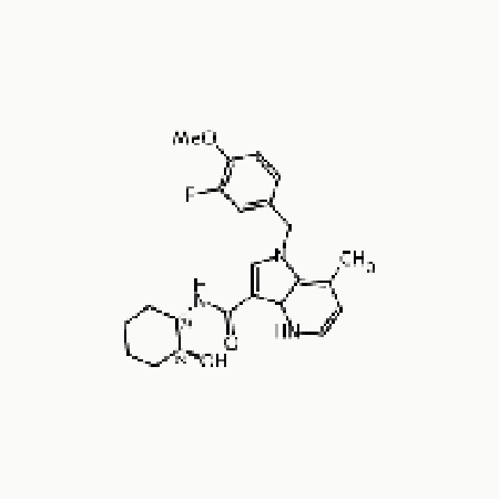 COc1ccc(CN2C=C(C(=O)N[C@H]3CCCC[C@@H]3O)C3NC=CC(C)=C32)cc1F